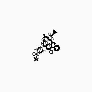 CC(C)c1nc(C2CC2)nc(C(C)C)c1-n1c(=O)nc(N2C[C@@H](C)N(C(=O)OC(C)(C)C)C[C@@H]2C)c2cc(Cl)c(-c3ccccc3F)nc21